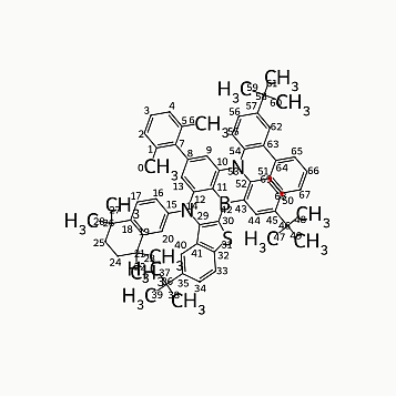 Cc1cccc(C)c1-c1cc2c3c(c1)N(c1ccc4c(c1)C(C)(C)CCC4(C)C)c1c(sc4ccc(C(C)(C)C)cc14)B3c1cc(C(C)(C)C)ccc1N2c1ccc(C(C)(C)C)cc1-c1ccccc1